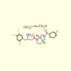 Cc1cccc(C(=O)N2C[C@@H]3CCN(C(=O)C[C@H](N)Cc4cc(F)c(F)cc4F)[C@@H]3C2)c1.O=C(O)C=CC(=O)O